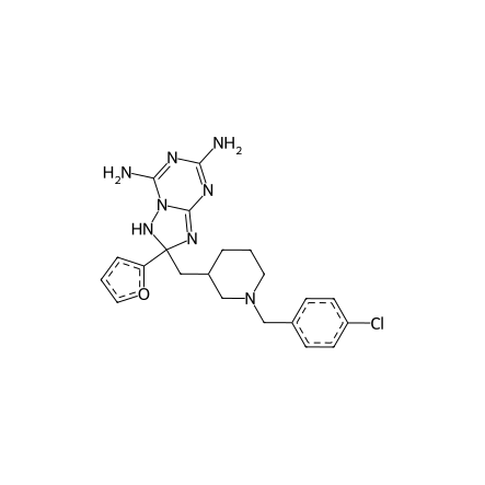 NC1=NC2=NC(CC3CCCN(Cc4ccc(Cl)cc4)C3)(c3ccco3)NN2C(N)=N1